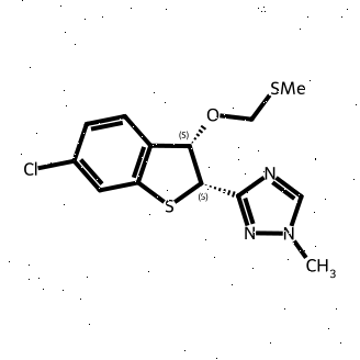 CSCO[C@H]1c2ccc(Cl)cc2S[C@H]1c1ncn(C)n1